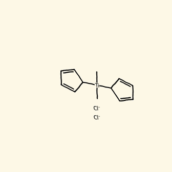 [CH3][Ti]([CH3])([CH]1C=CC=C1)[CH]1C=CC=C1.[Cl-].[Cl-]